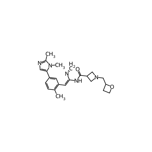 C=N/C(=C\c1cc(-c2cnc(C)n2C)ccc1C)NC(=O)C1CN(CC2CCO2)C1